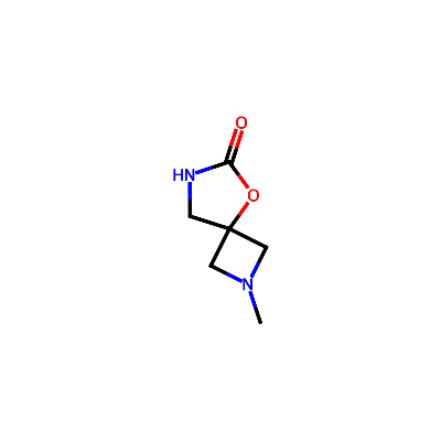 CN1CC2(CNC(=O)O2)C1